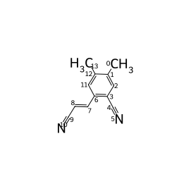 Cc1cc(C#N)c(C=CC#N)cc1C